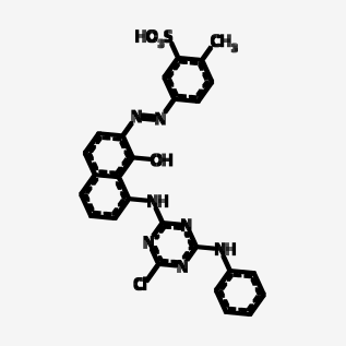 Cc1ccc(N=Nc2ccc3cccc(Nc4nc(Cl)nc(Nc5ccccc5)n4)c3c2O)cc1S(=O)(=O)O